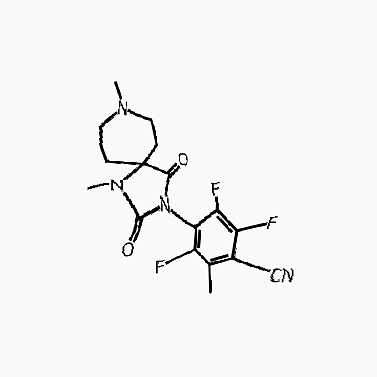 Cc1c(F)c(N2C(=O)N(C)C3(CCN(C)CC3)C2=O)c(F)c(F)c1C#N